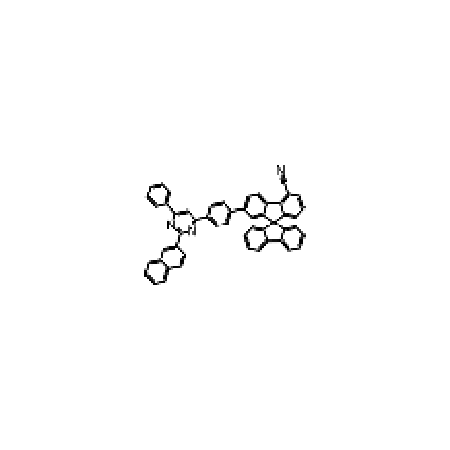 N#Cc1cccc2c1-c1ccc(-c3ccc(-c4cc(-c5ccccc5)nc(-c5ccc6ccccc6c5)n4)cc3)cc1C21c2ccccc2-c2ccccc21